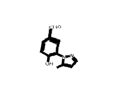 Cc1ccnn1-c1cc(C=O)ccc1O